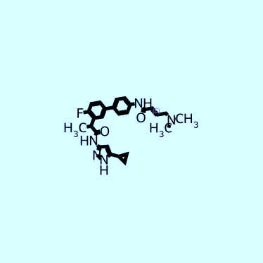 CC(C(=O)Nc1cc(C2CC2)[nH]n1)c1cc(-c2ccc(NC(=O)/C=C/CN(C)C)cc2)ccc1F